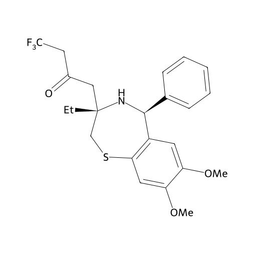 CC[C@]1(CC(=O)CC(F)(F)F)CSc2cc(OC)c(OC)cc2[C@H](c2ccccc2)N1